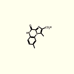 Cc1ccc2[nH]c(=O)c3nc(C(=O)O)c(C)n3c2c1